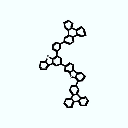 c1cc(-c2ccc3c4ccccc4c4ccccc4c3c2)cc(-c2cc(-c3ccc4c(c3)sc3c(-c5ccc6c7ccccc7c7ccccc7c6c5)cccc34)cc3c2sc2ccccc23)c1